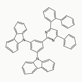 c1ccc(-c2cc(-c3ccccc3-c3ccccc3)nc(-c3cc(-n4c5ccccc5c5ccccc54)cc(-n4c5ccccc5c5ccccc54)c3)n2)cc1